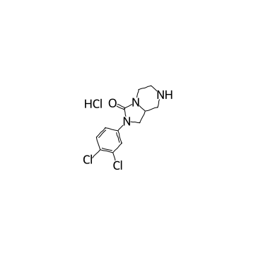 Cl.O=C1N(c2ccc(Cl)c(Cl)c2)CC2CNCCN12